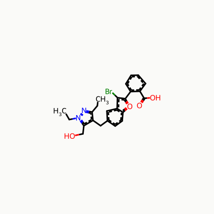 CCc1nn(CC)c(CO)c1Cc1ccc2oc(-c3ccccc3C(=O)O)c(Br)c2c1